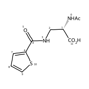 CC(=O)N[C@@H](CNC(=O)c1cccs1)C(=O)O